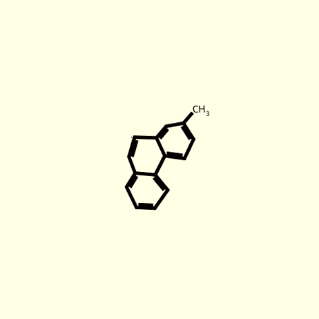 Cc1ccc2c([c]cc3ccccc32)c1